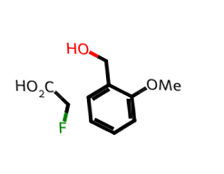 COc1ccccc1CO.O=C(O)CF